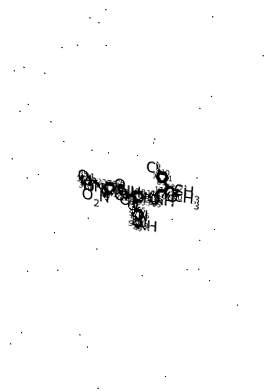 CC1(C)CC(c2ccc(Cl)cc2)=C(CC2CN(c3ccc(C(=O)NS(=O)(=O)c4ccc(NCC5COCCO5)c([N+](=O)[O-])c4)c(Oc4cnc5[nH]ccc5c4)c3)CCN2)CO1